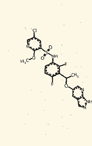 COc1ncc(Cl)cc1S(=O)(=O)Nc1ccc(F)c(C(C)Oc2cnc3[nH]ncc3c2)c1F